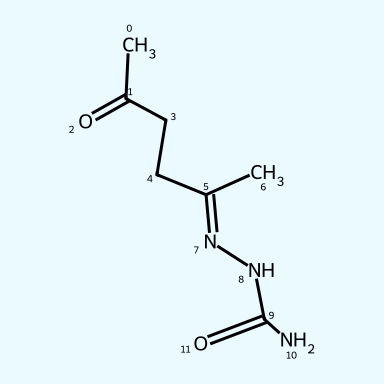 CC(=O)CC/C(C)=N/NC(N)=O